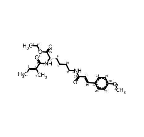 C/C=C(\C)C(=O)N[C@@H](CCCCNC(=O)/C=C/c1ccc(OC)cc1)C(=O)OCC